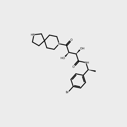 C[C@H](NC(=O)[C@H](O)[C@@H](O)C(=O)N1CCC2(CCNC2)CC1)c1ccc(Br)cc1